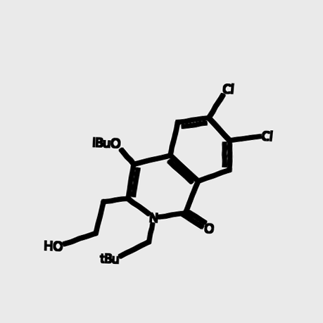 CC(C)COc1c(CCO)n(CC(C)(C)C)c(=O)c2cc(Cl)c(Cl)cc12